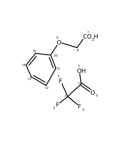 O=C(O)C(F)(F)F.O=C(O)COc1ccccc1